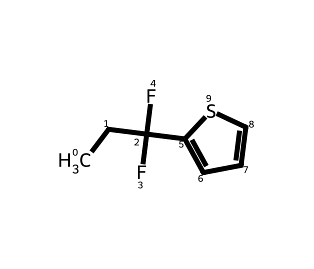 CCC(F)(F)c1cccs1